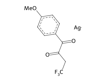 COc1ccc(C(=O)C(=O)CC(F)(F)F)cc1.[Ag]